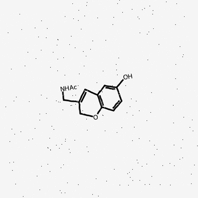 CC(=O)NCC1=Cc2cc(O)ccc2OC1